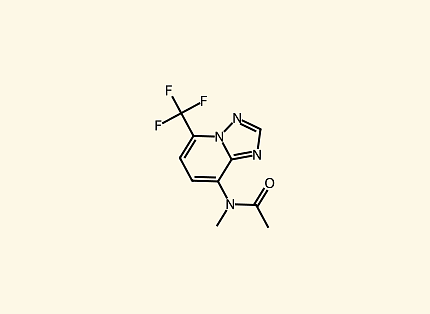 CC(=O)N(C)c1ccc(C(F)(F)F)n2ncnc12